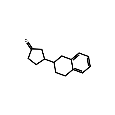 O=C1CCC(C2CCc3ccccc3C2)C1